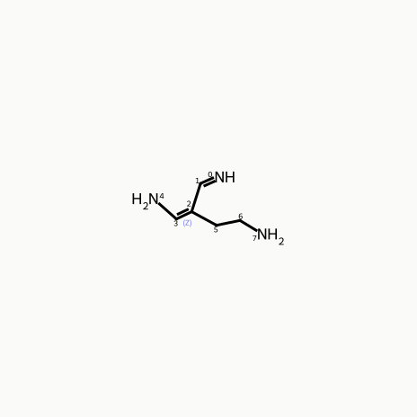 N=C/C(=C\N)CCN